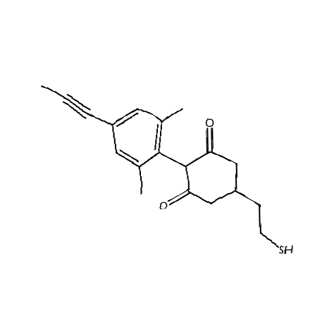 CC#Cc1cc(C)c(C2C(=O)CC(CCS)CC2=O)c(C)c1